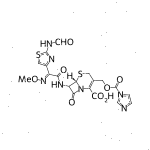 CON=C(C(=O)NC1C(=O)N2C(C(=O)O)=C(COC(=O)n3ccnc3)CS[C@@H]12)c1csc(NC=O)n1